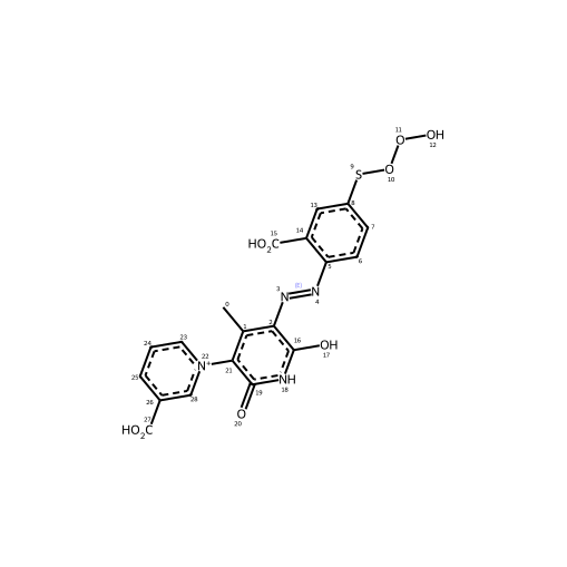 Cc1c(/N=N/c2ccc(SOOO)cc2C(=O)O)c(O)[nH]c(=O)c1-[n+]1cccc(C(=O)O)c1